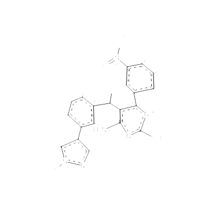 Cc1nc(N)c(C(C)c2cccc(-c3cnn(C)c3)c2)c(-c2cccc([N+](=O)[O-])c2)n1